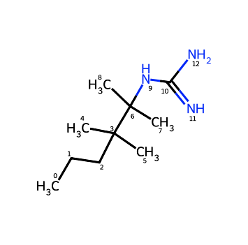 CCCC(C)(C)C(C)(C)NC(=N)N